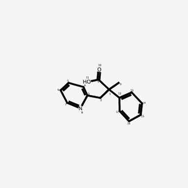 CC(Cc1ccccn1)(C(=O)O)c1ccccc1